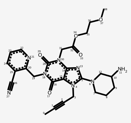 CC#CCn1c(N2CCCC(N)C2)nc2c1c(=O)n(Cc1ncccc1C#N)c(=O)n2CC(=O)OCCOC